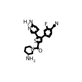 N#Cc1ccc(-c2cc(C(=O)N3CCC[C@@H](N)C3)sc2-c2ccc(N)nc2)cc1F